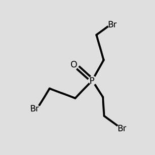 O=P(CCBr)(CCBr)CCBr